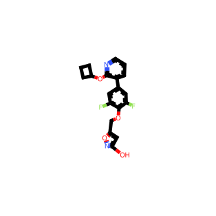 Oc1cc(COc2c(F)cc(-c3cccnc3OC3CCC3)cc2F)on1